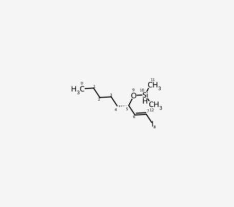 CCCCC[C@@H](C=CI)O[SiH](C)C